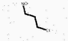 CCCCC[N+]=O